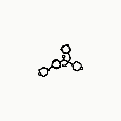 CCC(Cc1ccccc1)(C(=O)c1ccc(N2CCOCC2)cc1)N1CCOCC1